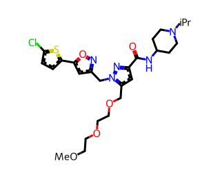 COCCOCCOCc1cc(C(=O)NC2CCN(C(C)C)CC2)nn1Cc1cc(-c2ccc(Cl)s2)on1